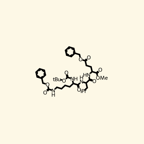 COC(=O)C(CCC(=O)OCc1ccccc1)NC(=O)C(CC(C)C)NC(=O)C(CCCCNC(=O)OCc1ccccc1)NC(=O)OC(C)(C)C